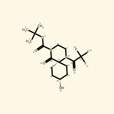 CC(C)(C)OC(=O)N1CCN(C(=O)C(F)(F)F)[C@]2(CC[C@@H](O)CC2)C1=O